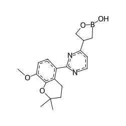 COc1ccc(-c2nccc(C3COB(O)C3)n2)c2c1OC(C)(C)CC2